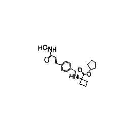 O=C(/C=C/c1ccc(CNC2(C(=O)OC3CCCC3)CCC2)cc1)NO